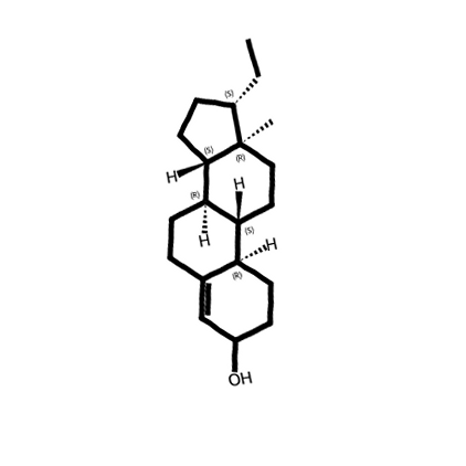 CC[C@H]1CC[C@H]2[C@@H]3CCC4=CC(O)CC[C@@H]4[C@H]3CC[C@]12C